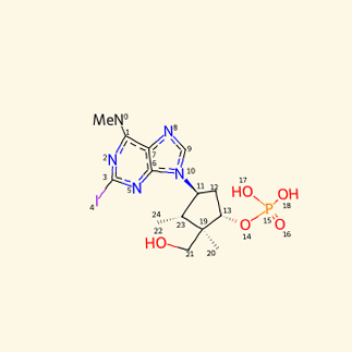 CNc1nc(I)nc2c1ncn2[C@H]1C[C@H](OP(=O)(O)O)[C@@](C)(CO)[C@@H]1C